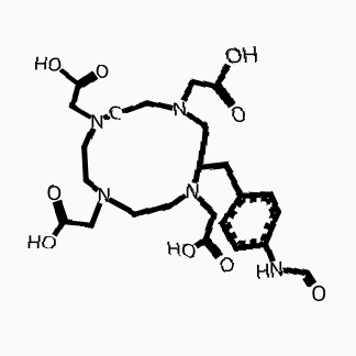 O=CNc1ccc(CC2CN(CC(=O)O)CCN(CC(=O)O)CCN(CC(=O)O)CCN2CC(=O)O)cc1